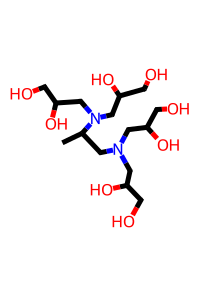 CC(CN(CC(O)CO)CC(O)CO)N(CC(O)CO)CC(O)CO